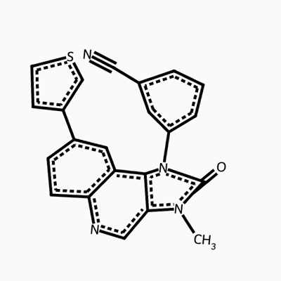 Cn1c(=O)n(-c2cccc(C#N)c2)c2c3cc(-c4ccsc4)ccc3ncc21